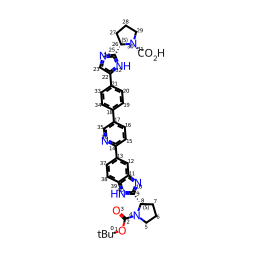 CC(C)(C)OC(=O)N1CCC[C@H]1c1nc2cc(-c3ccc(-c4ccc(-c5cnc([C@@H]6CCCN6C(=O)O)[nH]5)cc4)cn3)ccc2[nH]1